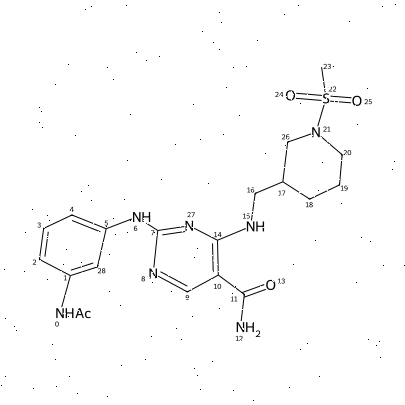 CC(=O)Nc1cccc(Nc2ncc(C(N)=O)c(NCC3CCCN(S(C)(=O)=O)C3)n2)c1